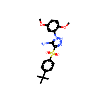 COc1ccc(OC)c(-n2nnc(S(=O)(=O)c3ccc(C(C)(C)C)cc3)c2N)c1